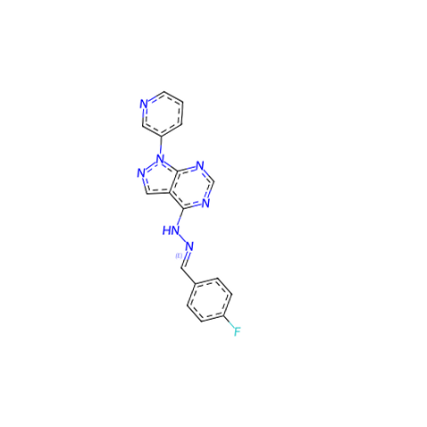 Fc1ccc(/C=N/Nc2ncnc3c2cnn3-c2cccnc2)cc1